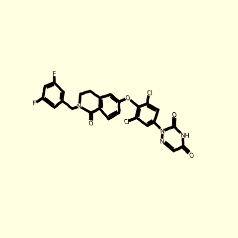 O=C1c2ccc(Oc3c(Cl)cc(-n4ncc(=O)[nH]c4=O)cc3Cl)cc2CCN1Cc1cc(F)cc(F)c1